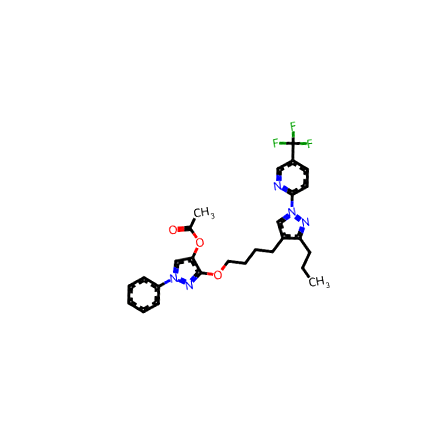 CCCc1nn(-c2ccc(C(F)(F)F)cn2)cc1CCCCOc1nn(-c2ccccc2)cc1OC(C)=O